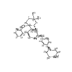 FC1(F)CCC2(CC1)Oc1ncccc1-c1cnc(Nc3ccc(N4CCNCC4)cn3)nc12